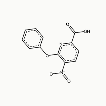 O=C(O)c1ccc([N+](=O)[O-])c(Oc2ccccc2)n1